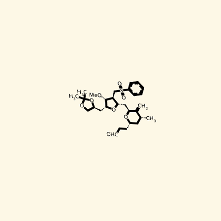 C=C1[C@H](C)C[C@H](CCC=O)O[C@H]1C[C@@H]1O[C@H](C[C@H]2COC(C)(C)O2)[C@H](OC)[C@H]1CS(=O)(=O)c1ccccc1